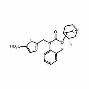 O=C(O)c1ccc(CN(C(=O)O[C@@H]2CN3CCC2CC3)c2ccccc2F)s1